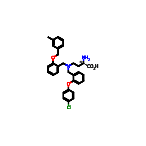 Cc1cccc(COc2ccccc2CN(CC[C@H](N)C(=O)O)Cc2ccccc2Oc2ccc(Cl)cc2)c1